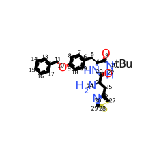 CC(C)(C)NC(=O)[C@H](Cc1ccc(OCc2ccccc2)cc1)NC(=O)[C@@H](N)Cc1cscn1